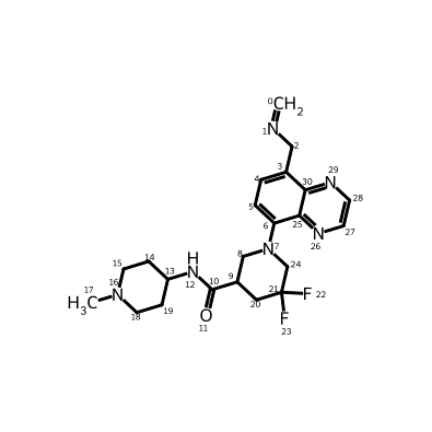 C=NCc1ccc(N2CC(C(=O)NC3CCN(C)CC3)CC(F)(F)C2)c2nccnc12